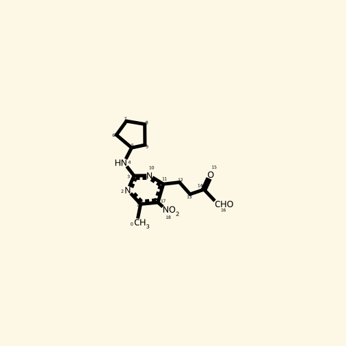 Cc1nc(NC2CCCC2)nc(CCC(=O)C=O)c1[N+](=O)[O-]